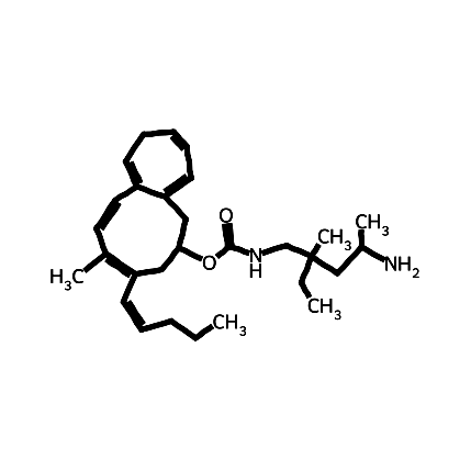 CCC\C=C/C1=C(C)/C=C\C2=CCC=CC=C2CC(OC(=O)NCC(C)(CC)CC(C)N)C1